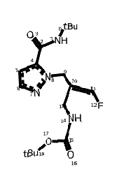 CC(C)(C)NC(=O)c1ccnn1CC(=CF)CNC(=O)OC(C)(C)C